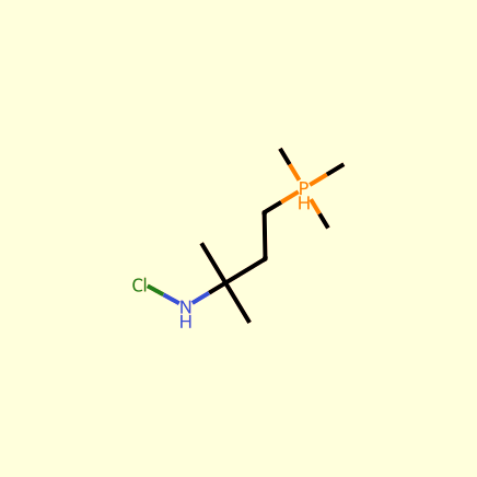 CC(C)(CC[PH](C)(C)C)NCl